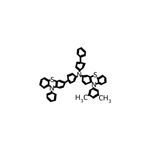 Cc1cc(C)cc(N2c3ccccc3Sc3cc(N(c4ccc(-c5ccccc5)cc4)c4ccc(-c5ccc6c(c5)Sc5ccccc5N6c5ccccc5)cc4)ccc32)c1